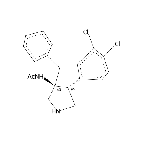 CC(=O)N[C@]1(Cc2ccccc2)CNC[C@H]1c1ccc(Cl)c(Cl)c1